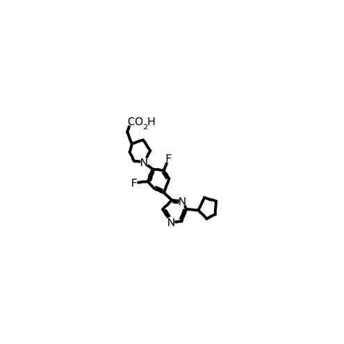 O=C(O)CC1CCN(c2c(F)cc(-c3cncc(C4CCCC4)n3)cc2F)CC1